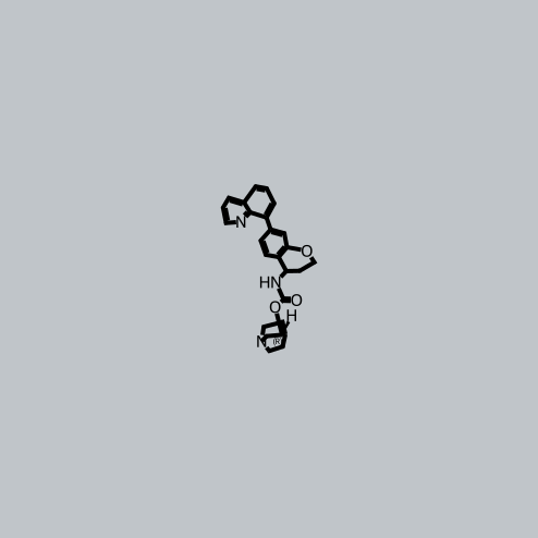 O=C(NC1CCOc2cc(-c3cccc4cccnc34)ccc21)O[C@H]1CN2CCC1CC2